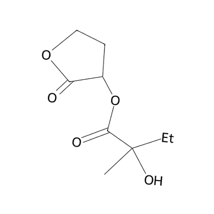 CCC(C)(O)C(=O)OC1CCOC1=O